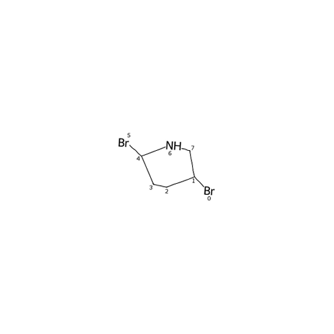 BrC1CCC(Br)NC1